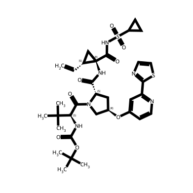 C=C[C@@H]1C[C@]1(NC(=O)[C@@H]1C[C@@H](Oc2ccnc(-c3nccs3)c2)CN1C(=O)[C@@H](NC(=O)OC(C)(C)C)C(C)(C)C)C(=O)NS(=O)(=O)C1CC1